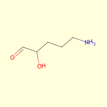 NCCCC(O)C=O